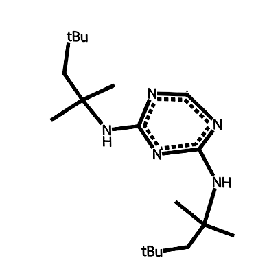 CC(C)(C)CC(C)(C)Nc1n[c]nc(NC(C)(C)CC(C)(C)C)n1